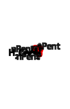 C=CCCCC[Si](OCCCCC)(OCCCCC)OCCCCC